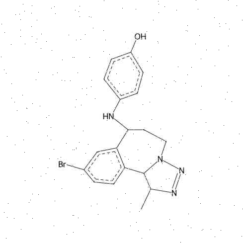 CC1N=NN2CCC(Nc3ccc(O)cc3)c3cc(Br)ccc3C12